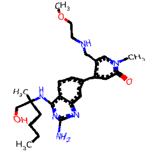 CCCCC(C)(CO)Nc1nc(N)nc2cc(-c3cc(=O)n(C)cc3CNCCOC)ccc12